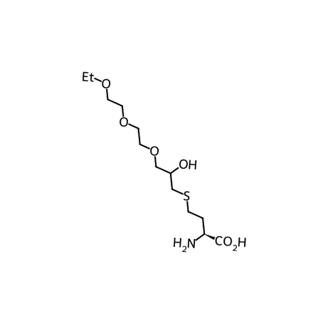 CCOCCOCCOCC(O)CSCC[C@H](N)C(=O)O